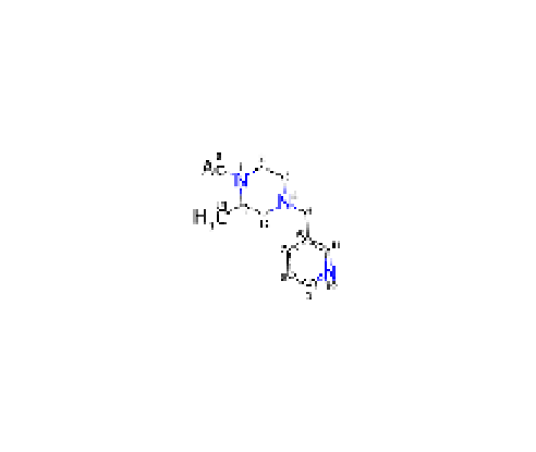 CC(=O)N1CCN(Cc2cc[c]nc2)CC1C